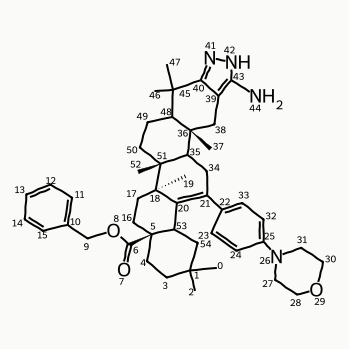 CC1(C)CC[C@]2(C(=O)OCc3ccccc3)CC[C@]3(C)C(=C(c4ccc(N5CCOCC5)cc4)CC4[C@@]5(C)Cc6c(n[nH]c6N)C(C)(C)C5CC[C@]43C)C2C1